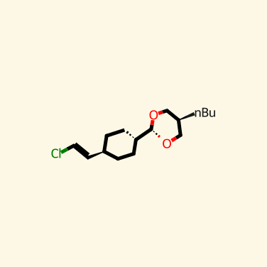 CCCC[C@H]1CO[C@H]([C@H]2CC[C@H](/C=C/Cl)CC2)OC1